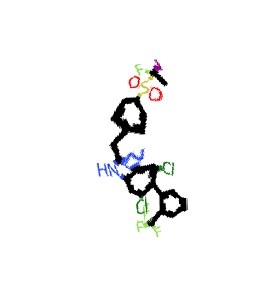 CC(F)(I)S(=O)(=O)c1ccc(Cc2nc3c(Cl)c(-c4ccccc4C(F)(F)F)c(Cl)cc3[nH]2)cc1